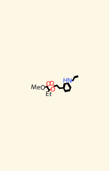 C=CCNc1cccc(CCC(=O)OC(CC)C(=O)OC)c1